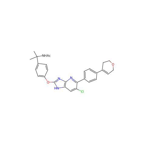 CC(=O)NC(C)(C)c1ccc(Oc2nc3nc(-c4ccc(C5=CCOCC5)cc4)c(Cl)cc3[nH]2)cc1